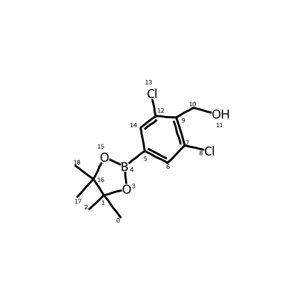 CC1(C)OB(c2cc(Cl)c(CO)c(Cl)c2)OC1(C)C